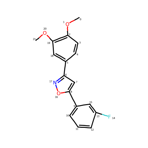 COc1ccc(-c2cc(-c3cccc(F)c3)on2)cc1OC